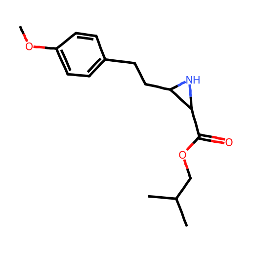 COc1ccc(CCC2NC2C(=O)OCC(C)C)cc1